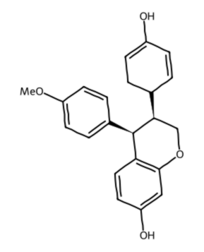 COc1ccc([C@@H]2c3ccc(O)cc3OC[C@@H]2C2C=CC(O)=CC2)cc1